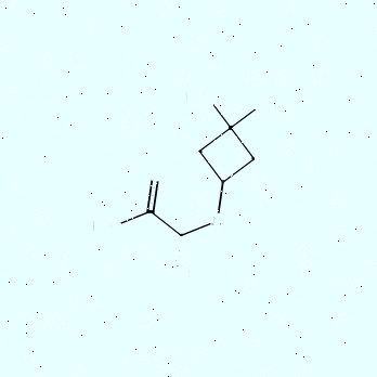 CC(=O)[C@@H](C)NC1CC(C)(C)C1